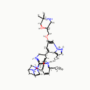 COc1ccc(CN2C3CC2CN(c2ccc(-c4cc(OCC5CNC(C)(C)CO5)cn5ncc(C#N)c45)cn2)C3)cn1